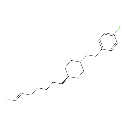 F/C=C/CCCCC[C@H]1CC[C@H](CCc2ccc(F)cc2)CC1